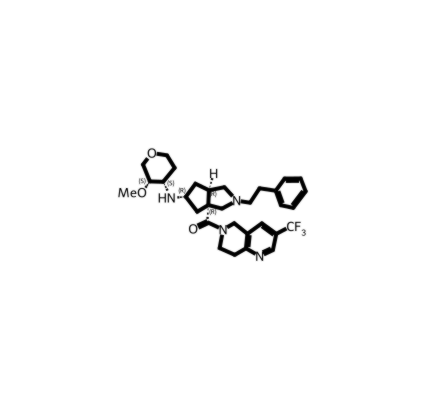 CO[C@@H]1COCC[C@@H]1N[C@@H]1C[C@H]2CN(CCc3ccccc3)C[C@@]2(C(=O)N2CCc3ncc(C(F)(F)F)cc3C2)C1